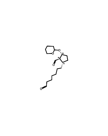 O=CCCCCCC[C@H]1CC[C@@H](OC2CCCCO2)[C@@H]1C=O